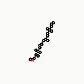 c1ccc2c(c1)ccc1cc(-c3c4ccccc4c(-c4ccc5cc(-c6cc7ccc(-c8ccc9c(ccc%10cc(-c%11c%12ccccc%12c(-c%12ccc(-c%13ccc%14oc%15ccccc%15c%14c%13)c%13ccccc%12%13)c%12ccccc%11%12)ccc%109)c8)cc7c7ccccc67)ccc5c4)c4ccccc34)ccc12